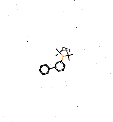 CCC(C)(C)P(c1cccc(-c2ccccc2)c1)C(C)(C)CC